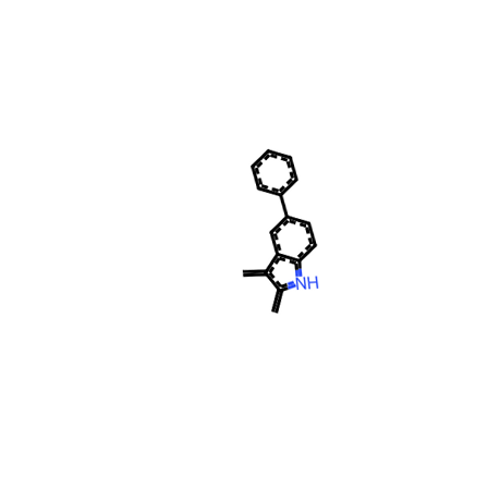 C=c1[nH]c2ccc(-c3ccccc3)cc2c1=C